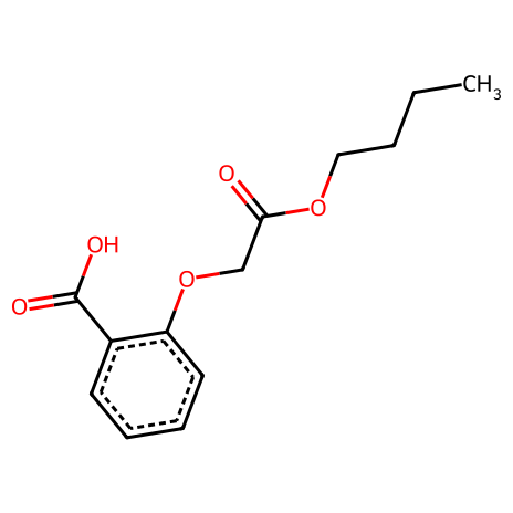 CCCCOC(=O)COc1ccccc1C(=O)O